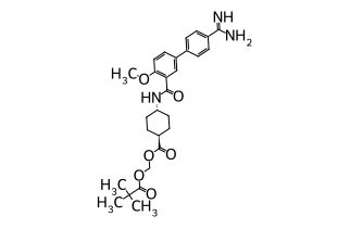 COc1ccc(-c2ccc(C(=N)N)cc2)cc1C(=O)N[C@H]1CC[C@H](C(=O)OCOC(=O)C(C)(C)C)CC1